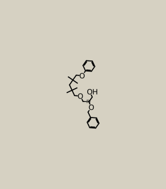 CC(C)(COC[C@@H](CO)OCc1ccccc1)CC(C)(C)COc1ccccc1